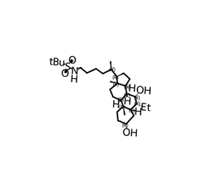 CC[C@H]1[C@@H](O)[C@@H]2[C@H](CC[C@]3(C)[C@@H]([C@H](C)CCCCNS(=O)(=O)C(C)(C)C)CC[C@@H]23)[C@@]2(C)CC[C@@H](O)C[C@@H]12